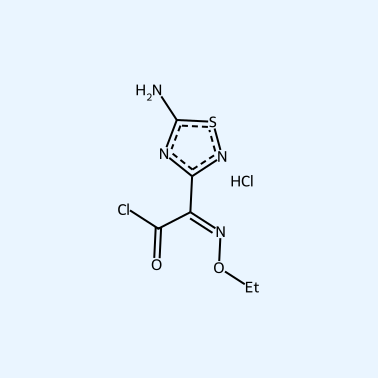 CCON=C(C(=O)Cl)c1nsc(N)n1.Cl